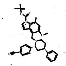 COc1cc(C)c2c(ccn2C(=O)OC(C)(C)C)c1CN1CC[C@@H](c2ccccc2)C[C@@H]1c1ccc(C#N)cc1